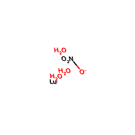 O.O.O.O=[N+]([O-])[O-].[Lu]